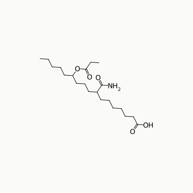 CCCCCC(CCCC(CCCCCCC(=O)O)C(N)=O)OC(=O)CC